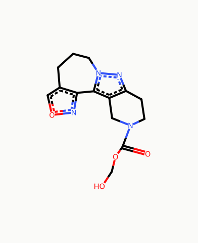 O=C(OCO)N1CCc2nn3c(c2C1)-c1nocc1CCC3